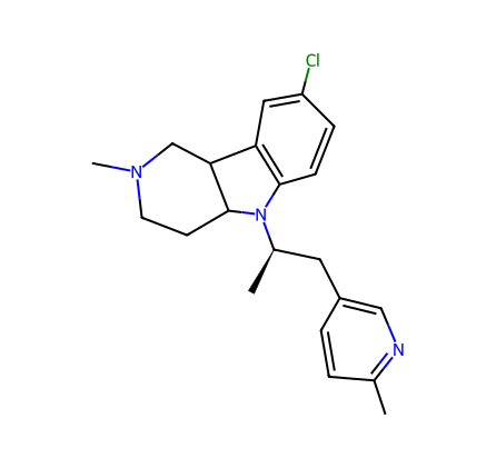 Cc1ccc(C[C@@H](C)N2c3ccc(Cl)cc3C3CN(C)CCC32)cn1